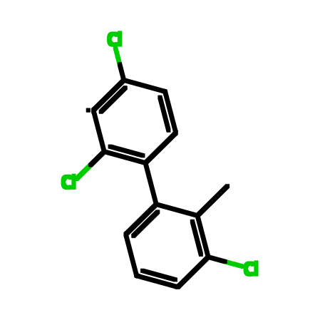 Cc1c(Cl)cccc1-c1ccc(Cl)[c]c1Cl